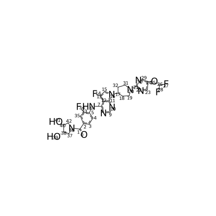 O=C(c1ccc(Nc2ncnc3c2c(F)cn3C2CCN(c3ncc(OC(F)F)cn3)CC2)c(F)c1)N1C[C@H](O)[C@@H](O)C1